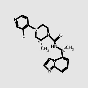 C[C@@H]1CN(c2ccncc2F)CCN1C(=O)N[C@H](C)c1cccc2nccn12